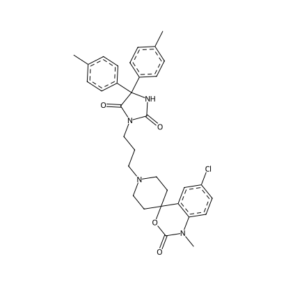 Cc1ccc(C2(c3ccc(C)cc3)NC(=O)N(CCCN3CCC4(CC3)OC(=O)N(C)c3ccc(Cl)cc34)C2=O)cc1